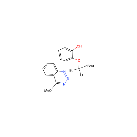 CCCCCC(CC)(CC)Oc1ccccc1O.COc1nnnc2ccccc12